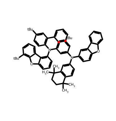 CC(C)(C)c1cc(N(c2ccc3c(c2)C(C)(C)CCC3(C)C)c2ccc3oc4ccccc4c3c2)cc(N(c2ccc(C(C)(C)C)cc2-c2ccccc2)c2cccc3oc4c(C(C)(C)C)cccc4c23)c1